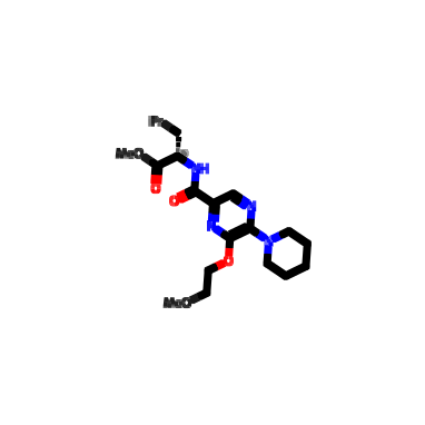 COCCOc1nc(C(=O)N[C@@H](CC(C)C)C(=O)OC)cnc1N1CCCCC1